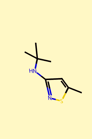 Cc1cc(NC(C)(C)C)ns1